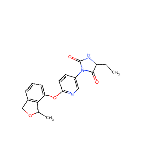 CCC1NC(=O)N(c2ccc(Oc3cccc4c3C(C)OC4)nc2)C1=O